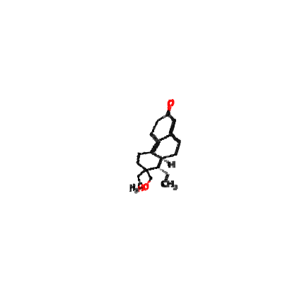 CC[C@H]1[C@@H]2CCC3=CC(=O)CCC3=C2CCC1(CC)CO